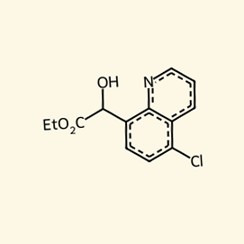 CCOC(=O)C(O)c1ccc(Cl)c2cccnc12